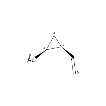 C=C[C@@H]1C[C@@H]1C(C)=O